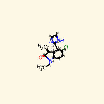 C=C1C(=O)N(CC)c2ccc(Cl)c(-c3ncc[nH]3)c21